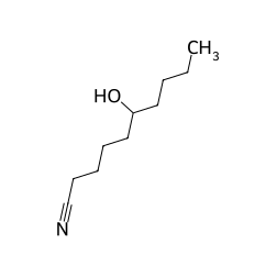 CCCCC(O)CCCCC#N